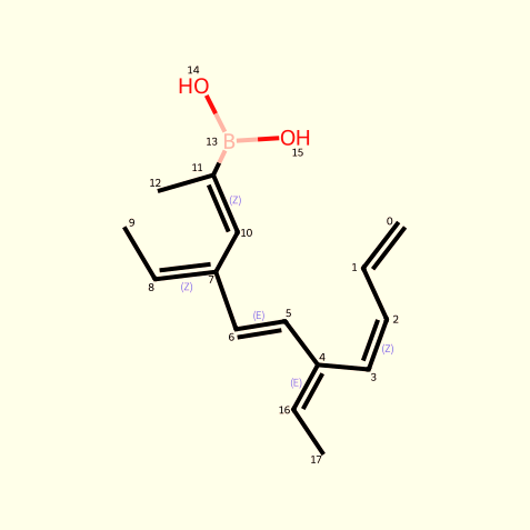 C=C\C=C/C(/C=C/C(=C/C)/C=C(\C)B(O)O)=C\C